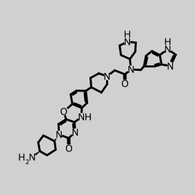 N[C@H]1CC[C@H](n2cc3c(nc2=O)Nc2cc(C4CCN(CC(=O)N(Cc5ccc6[nH]cnc6c5)C5CCNCC5)CC4)ccc2O3)CC1